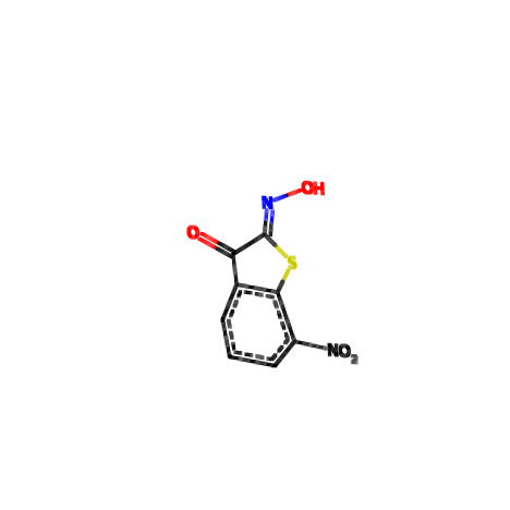 O=C1C(=NO)Sc2c1cccc2[N+](=O)[O-]